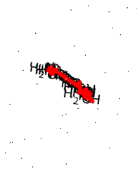 CC/C=C/C=C(\C)[C@H](C[C@@H]1CC[C@@H](C)[C@](O)(C(=O)C(=O)N2CCCC[C@H]2C(=O)O[C@@H](C[C@@H](O)[C@H](C)/C=C(\C)[C@@H](O)[C@@H](O)/C(=N/OCC(=O)NCCOCCOCCOCCOCCOCCOCCCCC(=O)N2CCC(Nc3ncnc(N)c3C(=N)c3ccc4oc(N)nc4c3)CC2)[C@H](C)CC(C)C)[C@H](N)C[C@H]2CC[C@H](O)CC2)O1)OC